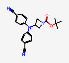 CC(C)(C)OC(=O)N1CC(N(c2ccc(C#N)cc2)c2ccc(C#N)cc2)C1